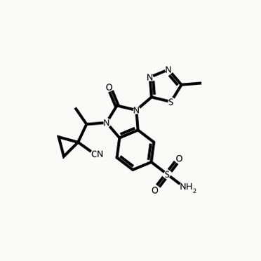 Cc1nnc(-n2c(=O)n(C(C)C3(C#N)CC3)c3ccc(S(N)(=O)=O)cc32)s1